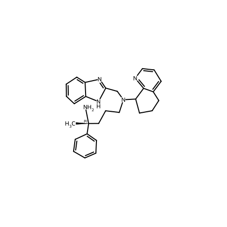 C[C@@](N)(CCCN(Cc1nc2ccccc2[nH]1)C1CCCc2cccnc21)c1ccccc1